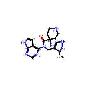 Cc1n[nH]cc1CN(C(=O)C1(N)CCNCC1)c1ncnc2[nH]ccc12